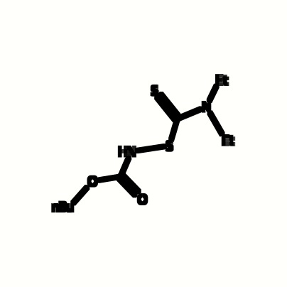 CCCCOC(=O)NSC(=S)N(CC)CC